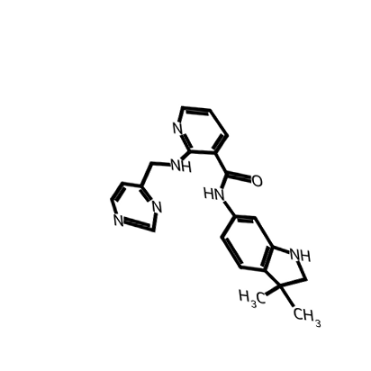 CC1(C)CNc2cc(NC(=O)c3cccnc3NCc3ccncn3)ccc21